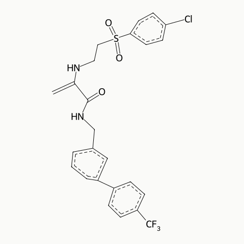 C=C(NCCS(=O)(=O)c1ccc(Cl)cc1)C(=O)NCc1cccc(-c2ccc(C(F)(F)F)cc2)c1